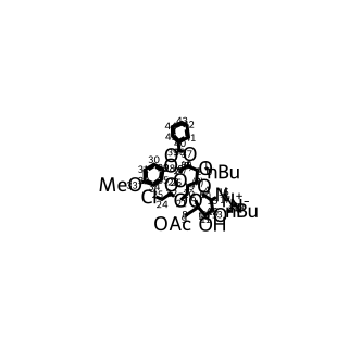 CCCCOC1[C@H](O[C@H]2OC(COC(C)=O)[C@@H](O)[C@H](OCCCC)C2N=[N+]=[N-])C(COC(=O)CCl)O[C@@H](Oc2ccc(OC)cc2)[C@H]1OC(=O)c1ccccc1